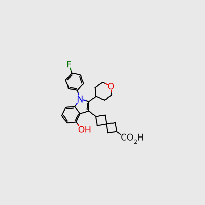 O=C(O)C1CC2(C1)CC(c1c(C3CCOCC3)n(-c3ccc(F)cc3)c3cccc(O)c13)C2